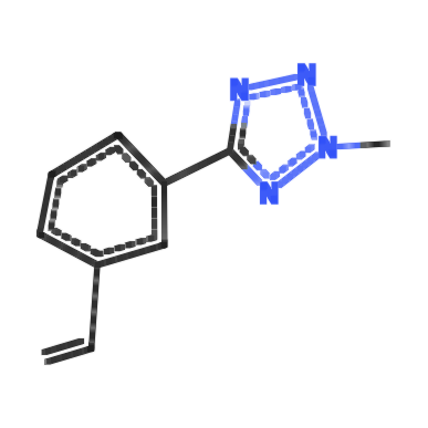 C=Cc1cccc(-c2nnn(C)n2)c1